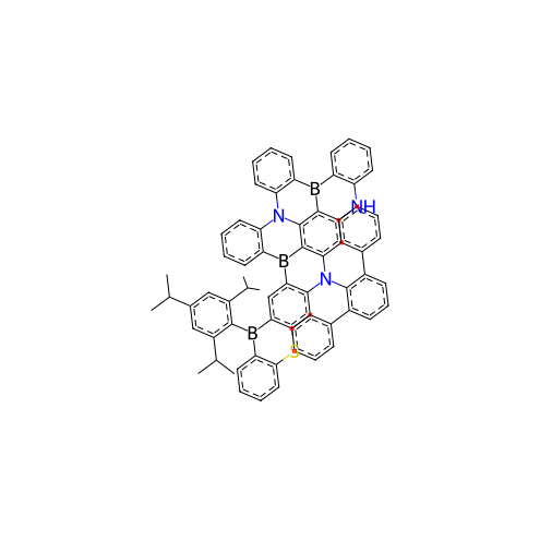 CC(C)c1cc(C(C)C)c(B2c3ccccc3Sc3cc4c(cc32)B2c3ccccc3N3c5ccccc5B5c6ccccc6Nc6cc(c2c3c65)N4c2c(-c3ccccc3)cccc2-c2ccccc2)c(C(C)C)c1